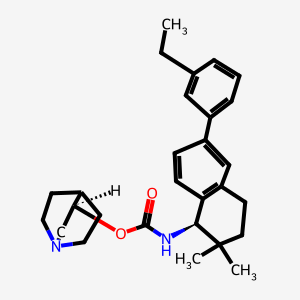 CCc1cccc(-c2ccc3c(c2)CCC(C)(C)[C@H]3NC(=O)O[C@H]2CN3CCC2CC3)c1